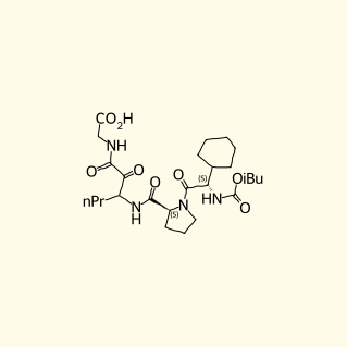 CCCC(NC(=O)[C@@H]1CCCN1C(=O)[C@@H](NC(=O)OCC(C)C)C1CCCCC1)C(=O)C(=O)NCC(=O)O